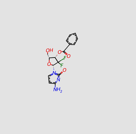 Nc1ccn([C@@H]2O[C@H](CO)[C@H](OC(=O)c3ccccc3)C2(F)F)c(=O)n1